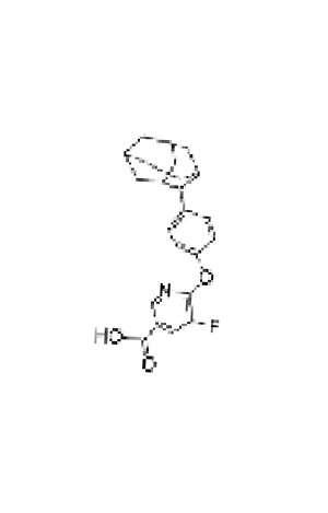 O=C(O)c1cnc(Oc2ccc(C3C4CC5CC(C4)CC3C5)cc2)c(F)c1